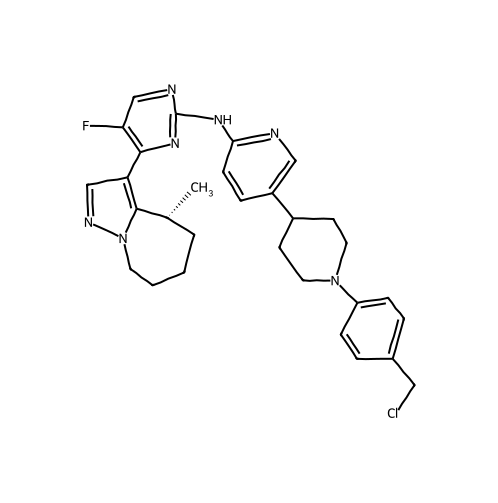 C[C@@H]1CCCCn2ncc(-c3nc(Nc4ccc(C5CCN(c6ccc(CCl)cc6)CC5)cn4)ncc3F)c21